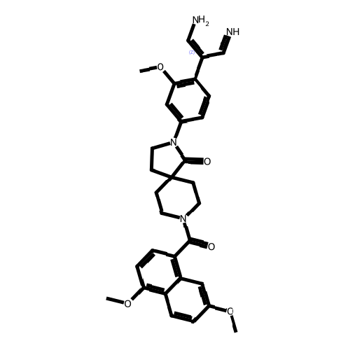 COc1ccc2c(OC)ccc(C(=O)N3CCC4(CC3)CCN(c3ccc(/C(C=N)=C/N)c(OC)c3)C4=O)c2c1